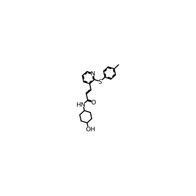 Cc1ccc(Sc2ncccc2C=CC(=O)NC2CCC(O)CC2)cc1